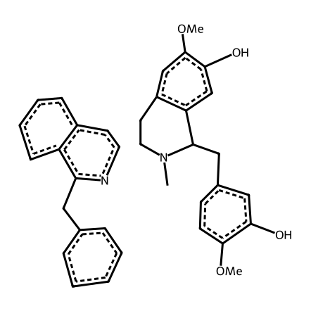 COc1ccc(CC2c3cc(O)c(OC)cc3CCN2C)cc1O.c1ccc(Cc2nccc3ccccc23)cc1